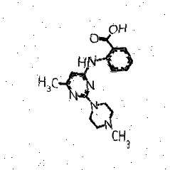 Cc1cc(Nc2ccccc2C(=O)O)nc(N2CCN(C)CC2)n1